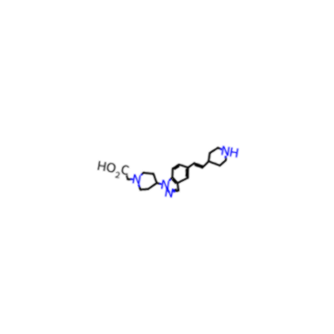 O=C(O)CN1CCC(n2ncc3cc(C=CC4CCNCC4)ccc32)CC1